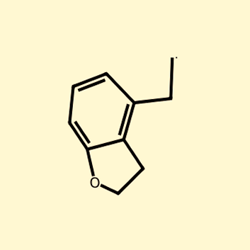 [CH2]Cc1cccc2c1CCO2